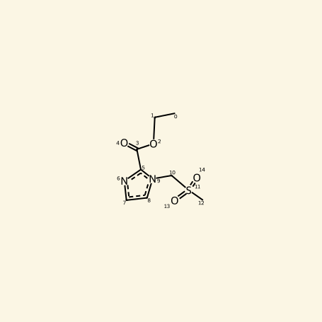 CCOC(=O)c1nccn1CS(C)(=O)=O